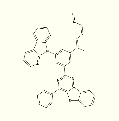 C=N/C=C\C=C(/C)c1cc(-c2nc(-c3ccccc3)c3sc4ccccc4c3n2)cc(-n2c3ccccc3c3cccnc32)c1